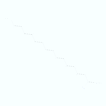 CCCCCCCCCCC(N)CCCCCCCCCCCCCCC(=O)O